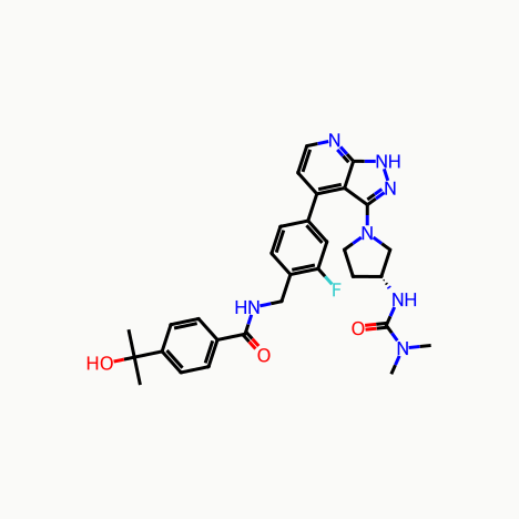 CN(C)C(=O)N[C@@H]1CCN(c2n[nH]c3nccc(-c4ccc(CNC(=O)c5ccc(C(C)(C)O)cc5)c(F)c4)c23)C1